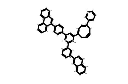 C1#CC/C(c2cc(-c3ccc(-c4cc5ccccc5c5ccccc45)cc3)nc(-c3cccc(-c4ccc5ccccc5c4)c3)n2)=C\C=C(\c2cccnc2)C1